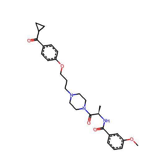 COc1cccc(C(=O)N[C@H](C)C(=O)N2CCN(CCCOc3ccc(C(=O)C4CC4)cc3)CC2)c1